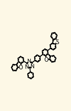 c1ccc(-c2nc(-c3ccc(-c4ccc(-c5ccc6sc7ccccc7c6c5)c5c4oc4ccccc45)cc3)nc(-c3cccc4c3oc3ccccc34)n2)cc1